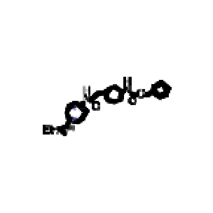 CC[C@H]1C[C@H]1/C1=C/C/C=C(NC(=O)CC2=CCC(NC(=O)OCc3ccccc3)=CC=C2)\C=C/C1